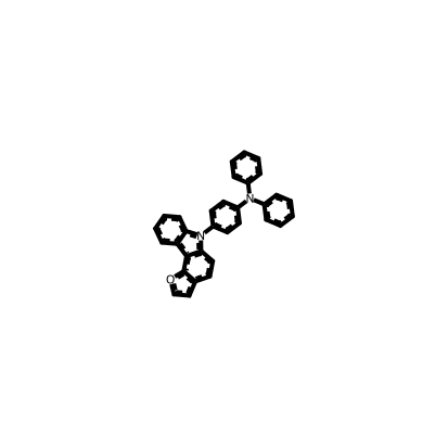 c1ccc(N(c2ccccc2)c2ccc(-n3c4ccccc4c4c5occc5ccc43)cc2)cc1